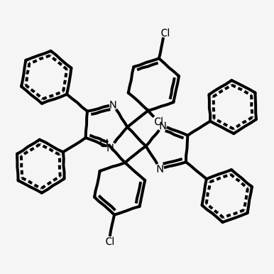 ClC1=CCC(Cl)(C2(C3(C4(Cl)C=CC(Cl)=CC4)N=C(c4ccccc4)C(c4ccccc4)=N3)N=C(c3ccccc3)C(c3ccccc3)=N2)C=C1